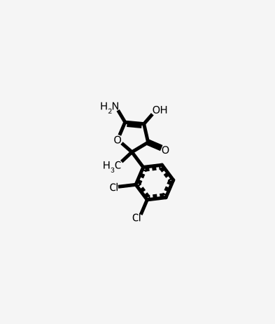 CC1(c2cccc(Cl)c2Cl)OC(N)=C(O)C1=O